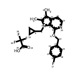 Cc1c(C)n(CC2CC2)c2c(OCc3ccc(F)cc3)nccc12.O=C(O)C(F)(F)F